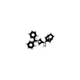 CN1C2CCC1CC(NC1CN(C(c3ccccc3)c3ccccc3)C1)C2